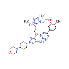 C[C@@H](Cn1cnnn1)Oc1cc(-c2cnc(Nc3cn([C@H]4CC[C@H](N5CCOCC5)CC4)nc3OCCCOC(F)(F)F)nc2)ccc1C#N